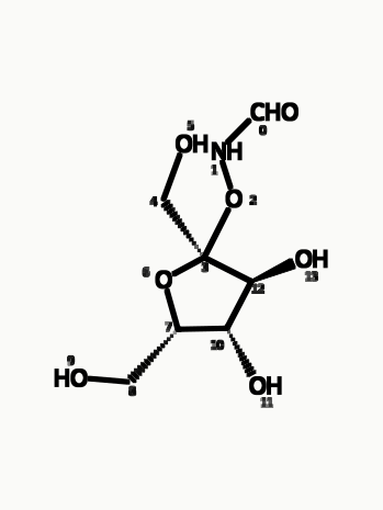 O=CNO[C@]1(CO)O[C@@H](CO)[C@@H](O)[C@@H]1O